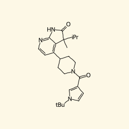 CC(C)C1(C)C(=O)Nc2nccc(C3CCN(C(=O)c4ccn(C(C)(C)C)c4)CC3)c21